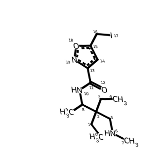 CCC(CC)(CNC)C(C)NC(=O)c1cc(CI)on1